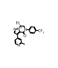 CC[C@@H]1CN(c2ccc(C(F)(F)F)cc2)C(=O)c2c(-c3ccnc(C)c3)cnn21